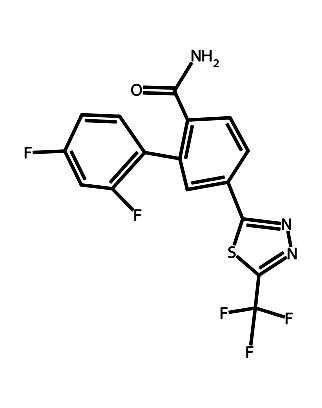 NC(=O)c1ccc(-c2nnc(C(F)(F)F)s2)cc1-c1ccc(F)cc1F